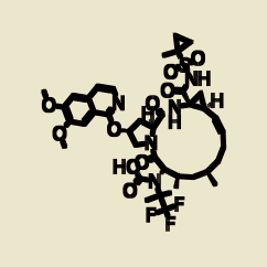 COc1cc2ccnc(O[C@@H]3C[C@H]4C(=O)N[C@]5(C(=O)NS(=O)(=O)C6(C)CC6)C[C@H]5C=CCC[C@@H](C)C[C@@H](C)[C@H](N(C(=O)O)C(C)(C)C(F)(F)F)C(=O)N4C3)c2cc1OC